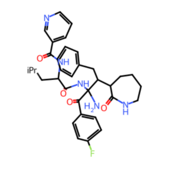 CC(C)CC(NC(=O)c1cccnc1)C(=O)NC(N)(C(=O)c1ccc(F)cc1)C(Cc1ccccc1)C1CCCCNC1=O